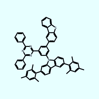 Cc1cc(C)c(-c2ccc3c(c2)c2ccc(-c4c(C)cc(C)cc4C)cc2n3-c2cc(-c3ccc4sc5ccccc5c4c3)cc(-c3nc(-c4ccccc4)nc(-c4ccccc4)n3)c2)c(C)c1